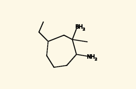 BC1(C)CC(CC)CCCC1N